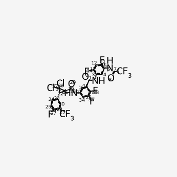 O=C(Nc1cc(NC(=O)C(F)(F)F)c(F)cc1F)c1cc(NC(=O)[C@H]2[C@H](c3ccc(F)c(C(F)(F)F)c3)C2(Cl)Cl)cc(F)c1F